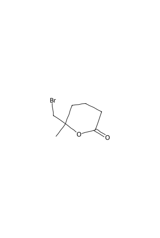 CC1(CBr)CCCC(=O)O1